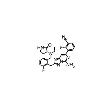 CCN(Cc1cccc(F)c1Cc1nc2cc(-c3cccc(C#N)c3F)nc(N)n2n1)[C@@H]1CCNC1=O